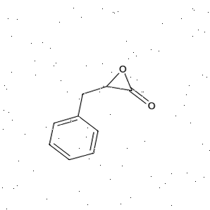 O=C1O[C]1Cc1ccccc1